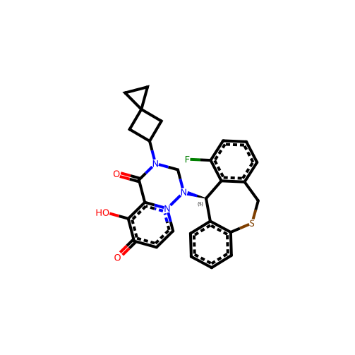 O=C1c2c(O)c(=O)ccn2N([C@@H]2c3ccccc3SCc3cccc(F)c32)CN1C1CC2(CC2)C1